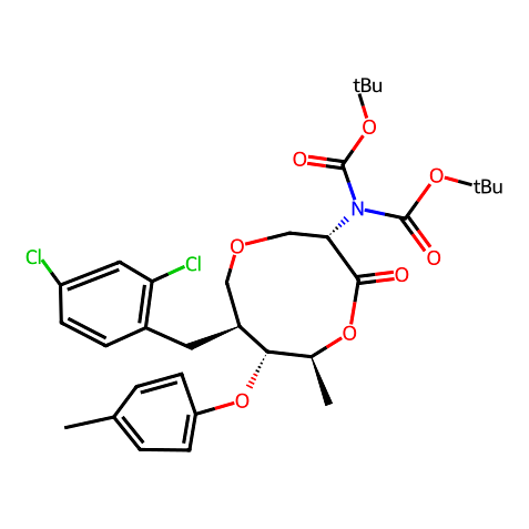 Cc1ccc(O[C@@H]2[C@@H](Cc3ccc(Cl)cc3Cl)COC[C@H](N(C(=O)OC(C)(C)C)C(=O)OC(C)(C)C)C(=O)O[C@H]2C)cc1